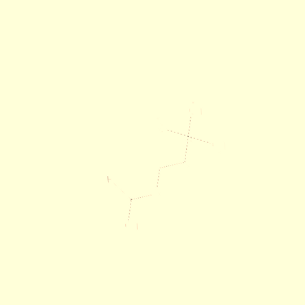 CC(F)OCCC(C)(C)C